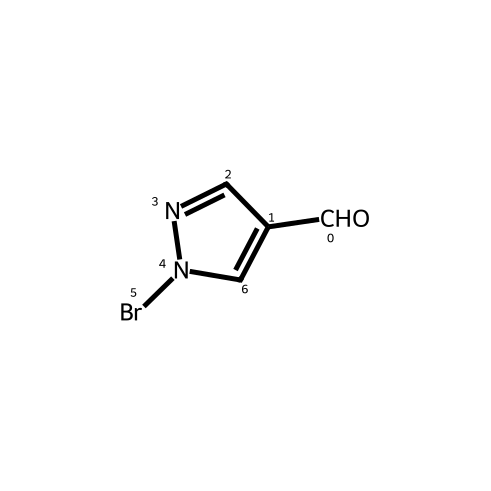 O=Cc1cnn(Br)c1